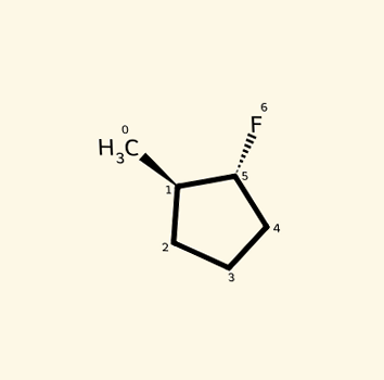 C[C@@H]1CCC[C@H]1F